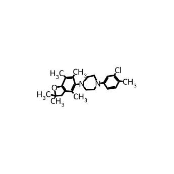 Cc1ccc(N2CCN(c3c(C)c(C)c4c(c3C)CC(C)(C)O4)CC2)cc1Cl